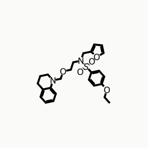 CCOc1ccc(S(=O)(=O)N(CCOCN2CCCc3ccccc32)Cc2ccco2)cc1